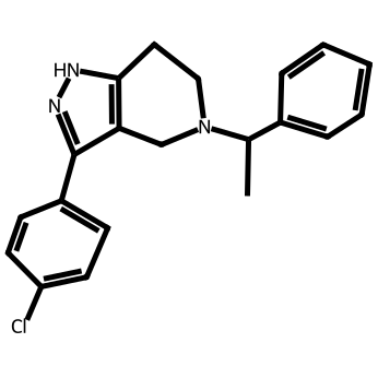 CC(c1ccccc1)N1CCc2[nH]nc(-c3ccc(Cl)cc3)c2C1